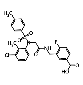 Cc1ccc(S(=O)(=O)N(CC(=O)NCc2cc(C(=O)O)ccc2F)c2cccc(Cl)c2C)cc1